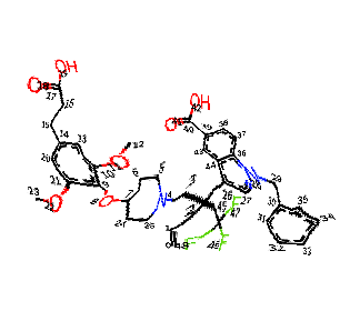 C=CC(CN1CCC(Oc2c(OC)cc(CCC(=O)O)cc2OC)CC1)(c1cn(Cc2ccccc2)c2ccc(C(=O)O)cc12)C(F)(F)F